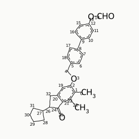 Cc1c(OCc2ccc(-c3ccc(OC=O)cc3)cc2)cc2c(c1C)C(=O)C(C1CCCC1)C2